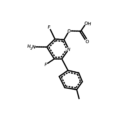 Cc1ccc(-c2nc(OC(=O)O)c(F)c(N)c2F)cc1